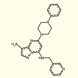 Bc1cnn2c(NCc3cccnc3)cc(N3CCN(c4ccccc4)CC3)nc12